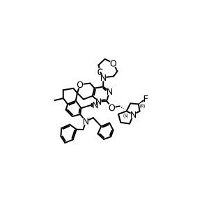 CC1CCC2(Cc3nc(OC[C@@]45CCCN4C[C@H](F)C5)nc(N4CCCOCC4)c3CO2)c2c1ccc(N(Cc1ccccc1)Cc1ccccc1)c2C#N